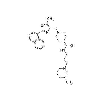 Cc1oc(-c2cccc3ccccc23)nc1CN1CCC(C(=O)NCCCN2CCC[C@@H](C)C2)CC1